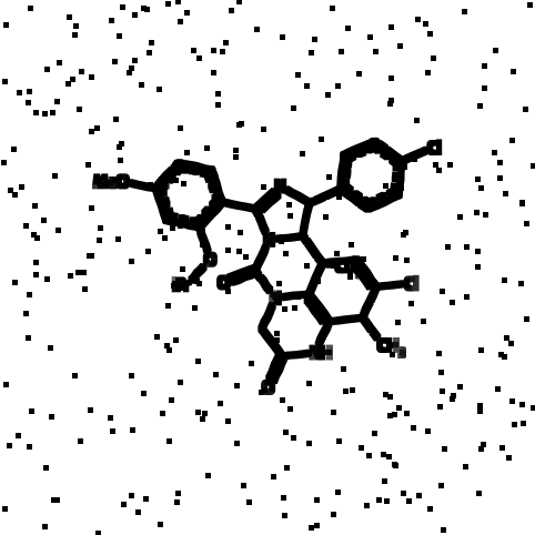 COc1ccc(C2=NC(c3ccc(Cl)cc3)C3N2C(=O)N2CC(=O)NC4=C2C3(C)C=C(Cl)C4C)c(OC(C)C)c1